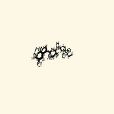 CCS(=O)(=O)N1CC[C@@H](Nc2nc(-c3c[nH]c4ncc(Cl)cc34)ncc2F)C1